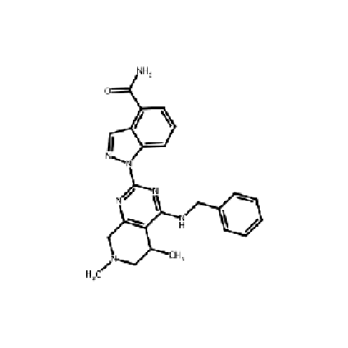 CC1CN(C)Cc2nc(-n3ncc4c(C(N)=O)cccc43)nc(NCc3ccccc3)c21